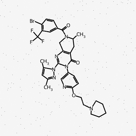 Cc1cc(C)n(-c2nc3c(c(=O)n2-c2ccc(OCCN4CCCCC4)nc2)CC(C)N(C(=O)c2ccc(Br)c(C(F)(F)F)c2)C3)n1